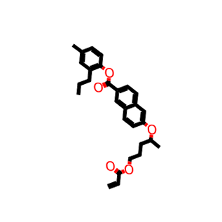 C=CC(=O)OCCCC(C)Oc1ccc2cc(C(=O)Oc3ccc(C)cc3CCC)ccc2c1